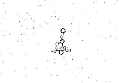 O=C(O)c1cccc(C(=O)O)c1CCc1ccc(OCc2ccccc2)cc1Cl